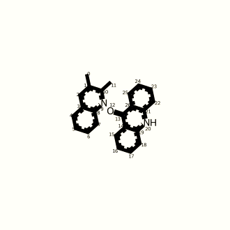 Cc1cc2ccccc2nc1C.O=c1c2ccccc2[nH]c2ccccc12